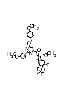 COC[C@@H](NC(=O)c1cc(OCc2ccc(OC)cc2)nc(C2=CCC(OC)C2)n1)c1ccc(OC(F)(F)F)c(F)c1